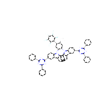 Fc1c(F)c(F)c(-c2cc(-n3c4ccccc4c4cc(-c5nc(-c6ccccc6)nc(-c6ccccc6)n5)ccc43)c(-n3c4ccccc4c4cc(-c5nc(-c6ccccc6)nc(-c6ccccc6)n5)ccc43)cc2C(F)(F)F)c(F)c1F